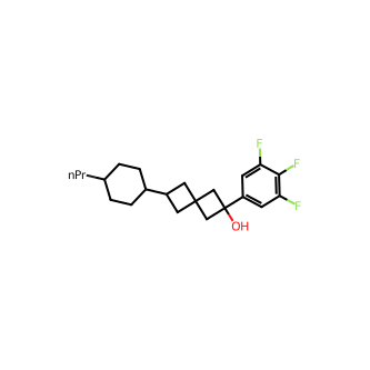 CCCC1CCC(C2CC3(C2)CC(O)(c2cc(F)c(F)c(F)c2)C3)CC1